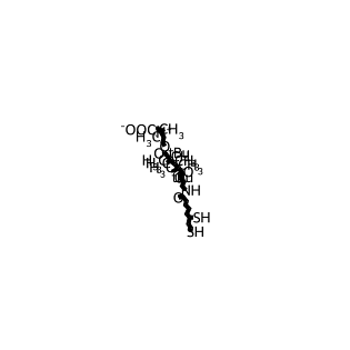 CC(C)(C)CC(C)(C(=O)OCCNC(=O)CCCCC(S)CCS)C(C)(C)C(C)(C)C(C)(C(=O)OCC[N+](C)(C)CC(=O)[O-])C(C)(C)C